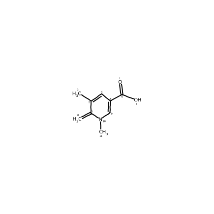 C=C1C(C)=CC(C(=O)O)=CN1C